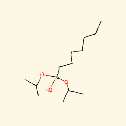 CCCCCCC[Si](O)(OC(C)C)OC(C)C